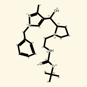 Cc1nn(Cc2ccccc2)cc1C(O)C1CCCN1CCNC(=O)OC(C)(C)C